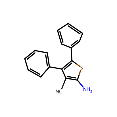 N#Cc1c(N)sc(-c2ccccc2)c1-c1ccccc1